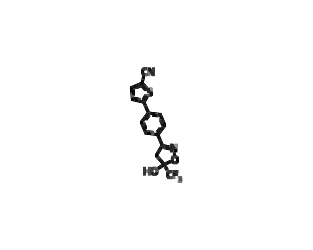 N#Cc1ccc(-c2ccc(C3=NOC(O)(C(F)(F)F)C3)cc2)s1